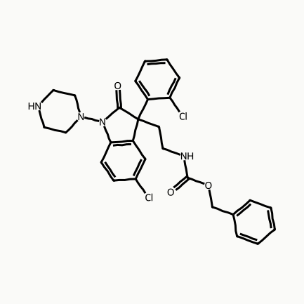 O=C(NCCC1(c2ccccc2Cl)C(=O)N(N2CCNCC2)c2ccc(Cl)cc21)OCc1ccccc1